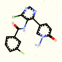 Nn1cc(-c2ncnc(Cl)c2NC(=O)c2cccc(F)c2)ccc1=O